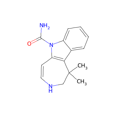 CC1(C)CNC=Cc2c1c1ccccc1n2C(N)=O